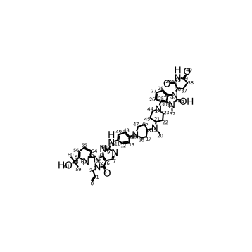 C=CCn1c(=O)c2cnc(Nc3ccc(N4CCC(N(C)C5CCN(c6cccc7c6N(C)C(O)N7C6CCC(=O)NC6=O)CC5)CC4)cc3)nc2n1-c1cccc(C(C)(C)O)n1